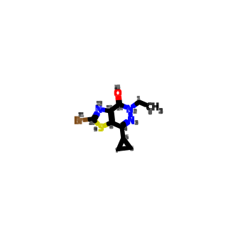 CCn1nc(C2CC2)c2sc(Br)nc2c1=O